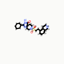 O=C1NC(C2CCCCC2)=NC12CCN(S(=O)(=O)CCc1cccc3cnccc13)CC2